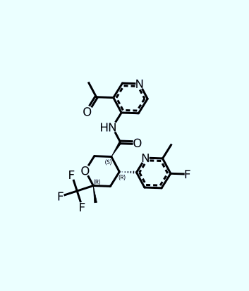 CC(=O)c1cnccc1NC(=O)[C@@H]1CO[C@@](C)(C(F)(F)F)C[C@H]1c1ccc(F)c(C)n1